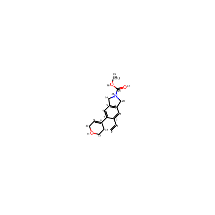 C=Cc1cc2c(cc1C1=CCOCC1)CN(C(=O)OC(C)(C)C)C2